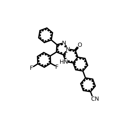 N#Cc1ccc(-c2ccc3c(=O)n4nc(-c5ccccc5)c(-c5ccc(F)cc5F)c4[nH]c3c2)cc1